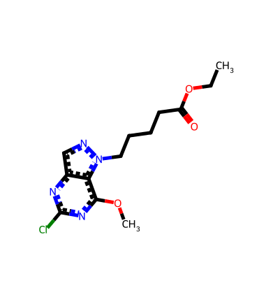 CCOC(=O)CCCCn1ncc2nc(Cl)nc(OC)c21